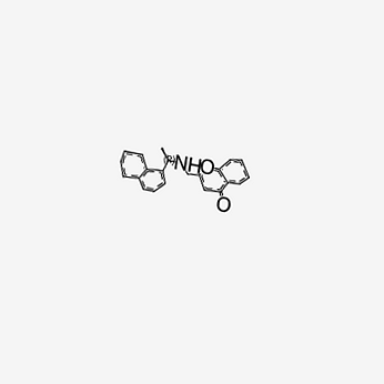 C[C@@H](NCc1cc(=O)c2ccccc2o1)c1cccc2ccccc12